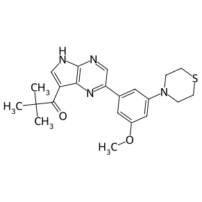 COc1cc(-c2cnc3[nH]cc(C(=O)C(C)(C)C)c3n2)cc(N2CCSCC2)c1